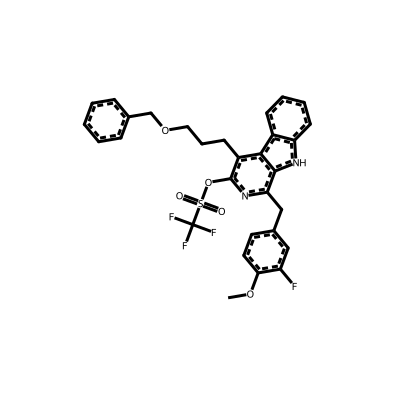 COc1ccc(Cc2nc(OS(=O)(=O)C(F)(F)F)c(CCCOCc3ccccc3)c3c2[nH]c2ccccc23)cc1F